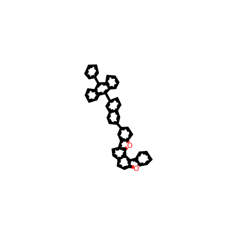 c1ccc(-c2c3ccccc3c(-c3ccc4cc(-c5ccc6oc7c(ccc8ccc9oc%10ccccc%10c9c87)c6c5)ccc4c3)c3ccccc23)cc1